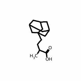 CC(CCC12CC3CC(CC(C3)C1)C2)C(=O)O